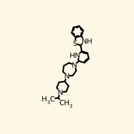 CC(C)N1CCC(N2CCCN(C3C=CC=C(C4Nc5ccccc5S4)N3)CC2)CC1